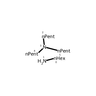 CCCCCCN.CCCCCN(CCCCC)CCCCC